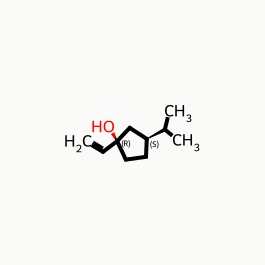 C=C[C@@]1(O)CC[C@H](C(C)C)C1